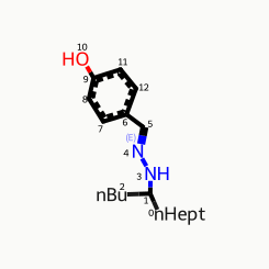 CCCCCCCC(CCCC)N/N=C/c1ccc(O)cc1